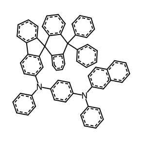 c1ccc(N(c2ccc(N(c3ccccc3)c3ccc4ccccc4c3)cc2)c2ccc3c(c2)C2(c4ccccc4-3)c3ccccc3C(c3ccccc3)(c3ccccc3)c3ccccc32)cc1